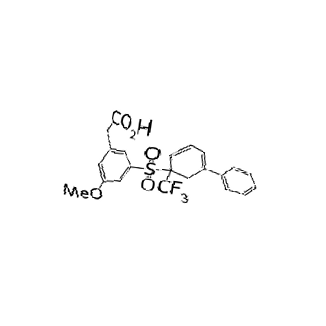 COc1cc(CC(=O)O)cc(S(=O)(=O)C2(C(F)(F)F)C=CC=C(c3ccccc3)C2)c1